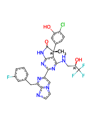 C[C@]1(c2ccc(Cl)c(O)c2)C(=O)Nc2nc(-c3cn4ccnc4c(Cc4cccc(F)c4)n3)nc(NC[C@@H](O)C(F)(F)F)c21